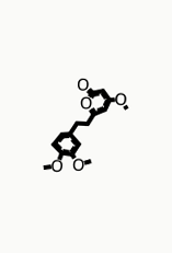 COc1cc(CCc2ccc(OC)c(OC)c2)oc(=O)c1